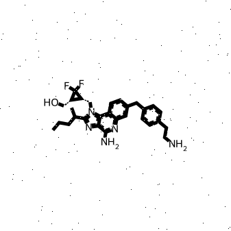 CCCC(C)c1nc2c(N)nc3cc(Cc4ccc(CCN)cc4)ccc3c2n1C[C@@H]1[C@H](CO)C1(F)F